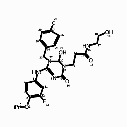 CC(C)Oc1ccc(NC2=NC(=O)N(CCC(=O)NCCO)C(O)N2Cc2ccc(Cl)cc2)cc1F